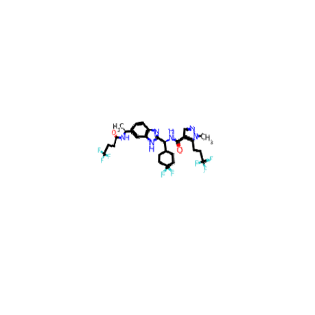 C[C@@H](NC(=O)CCC(F)(F)F)c1ccc2nc([C@@H](NC(=O)c3cnn(C)c3CCC(F)(F)F)C3CCC(F)(F)CC3)[nH]c2c1